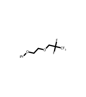 CC(C)OCCOCC(F)(F)C(F)(F)F